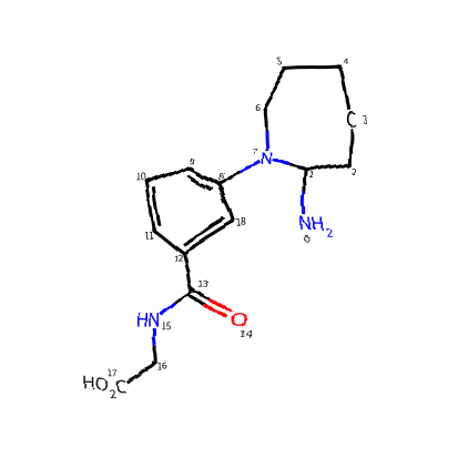 NC1CCCCCN1c1cccc(C(=O)NCC(=O)O)c1